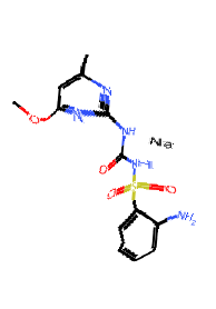 COc1cc(C)nc(NC(=O)NS(=O)(=O)c2ccccc2N)n1.[Na]